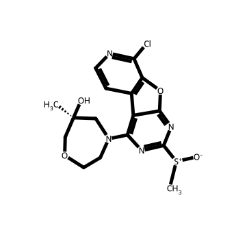 C[S+]([O-])c1nc(N2CCOC[C@@](C)(O)C2)c2c(n1)oc1c(Cl)nccc12